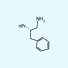 CCC[C@H](CN)Cc1ccccc1